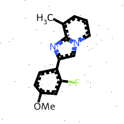 COc1ccc(-c2cn3cccc(C)c3n2)c(F)c1